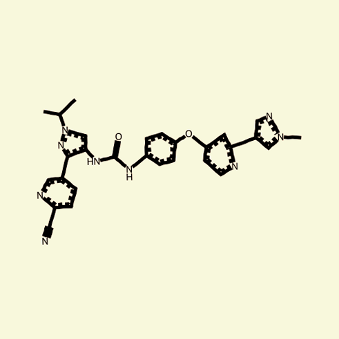 CC(C)n1cc(NC(=O)Nc2ccc(Oc3ccnc(-c4cnn(C)c4)c3)cc2)c(-c2ccc(C#N)nc2)n1